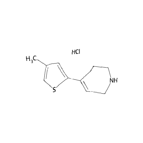 Cc1csc(C2=CCNCC2)c1.Cl